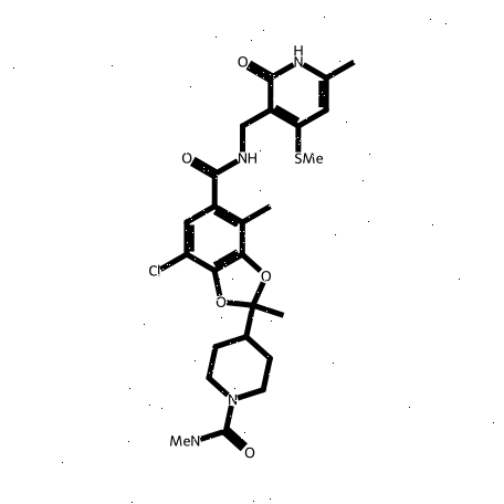 CNC(=O)N1CCC(C2(C)Oc3c(Cl)cc(C(=O)NCc4c(SC)cc(C)[nH]c4=O)c(C)c3O2)CC1